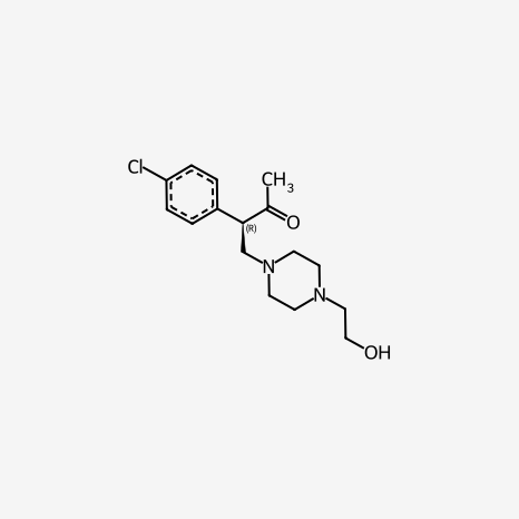 CC(=O)[C@@H](CN1CCN(CCO)CC1)c1ccc(Cl)cc1